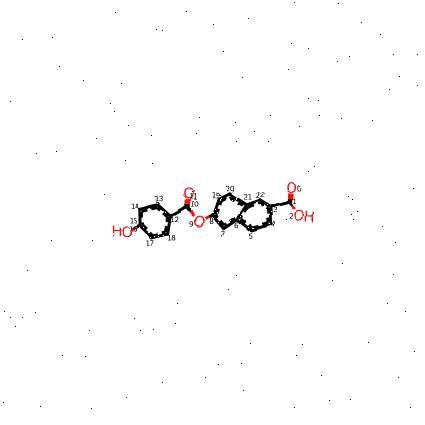 O=C(O)c1ccc2cc(OC(=O)c3ccc(O)cc3)ccc2c1